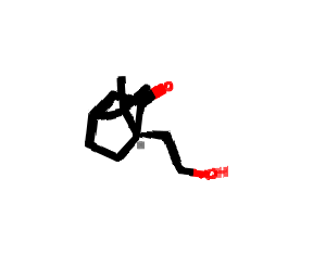 CC1(C)C2CC[C@@]1(CCO)C(=O)C2